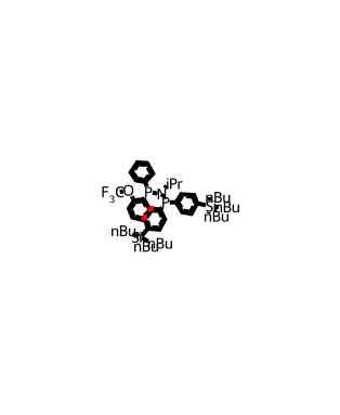 CCCC[Si](CCCC)(CCCC)c1ccc(P(c2ccc([Si](CCCC)(CCCC)CCCC)cc2)N(C(C)C)P(c2ccccc2)c2ccccc2OC(F)(F)F)cc1